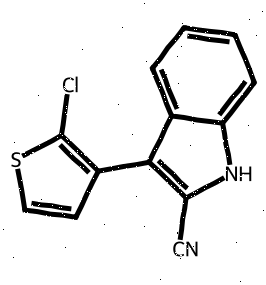 N#Cc1[nH]c2ccccc2c1-c1ccsc1Cl